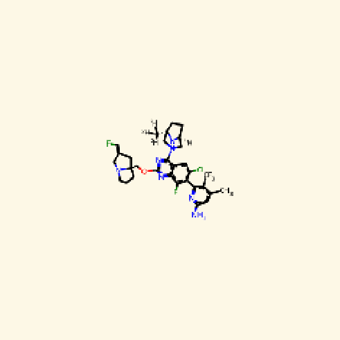 [2H]C([2H])([2H])[C@@]12CC[C@@H](CN(c3nc(OC[C@@]45CCCN4C/C(=C\F)C5)nc4c(F)c(-c5nc(N)cc(C)c5C(F)(F)F)c(Cl)cc34)C1)N2